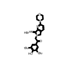 Br.CC(C)(C)c1cc(C(=O)CN2Cc3ccc(N4CCOCC4)nc3C2=N)cc(C(C)(C)C)c1O